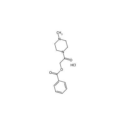 CN1CCN(C(=O)COC(=O)c2ccccc2)CC1.Cl